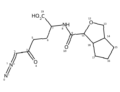 [N-]=[N+]=CC(=O)CCC(NC(=O)C1OCC2CCCC21)C(=O)O